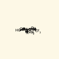 Nc1nccn2c([C@@H]3CCCN(CC(O)CO)C3)nc(-c3ccc(C(=O)Nc4cc(C(F)(F)F)ccn4)cc3)c12